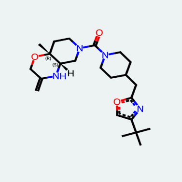 C=C1CO[C@]2(C)CCN(C(=O)N3CCC(Cc4nc(C(C)(C)C)co4)CC3)C[C@@H]2N1